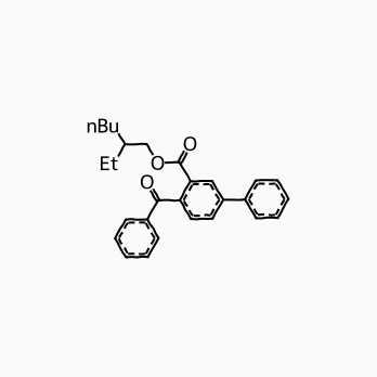 CCCCC(CC)COC(=O)c1cc(-c2ccccc2)ccc1C(=O)c1ccccc1